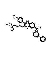 O=C(O)CCCCc1nc2cc(C(=O)N3CCC[C@@H](c4ccccc4)C3)ccc2nc1-c1ccc(Cl)cc1